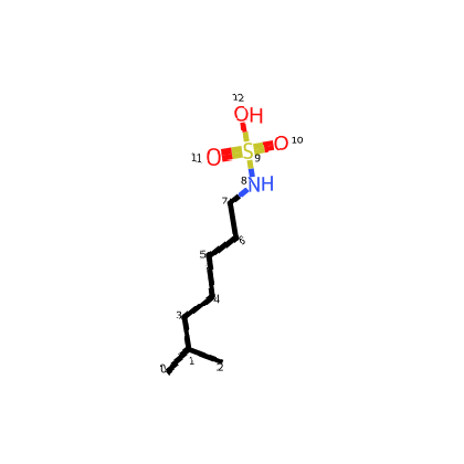 CC(C)CCCCCNS(=O)(=O)O